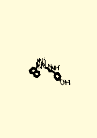 Oc1ccc(-c2cc(CNc3nncc(-c4cccc5ccccc45)n3)n[nH]2)cc1